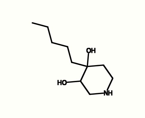 CCCCCC1(O)CCNCC1O